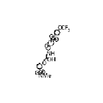 CNS(=O)(=O)c1cccc(OC[C@@H](O)CNC2COC3(CCN(S(=O)(=O)c4ccc(OC(F)(F)F)cc4)CC3)C2)c1